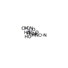 N#Cc1ccc(NC(=O)N2C/C(=C(/C(=N)c3cccc(Cl)c3)C(N)=O)NC(CO)C2)cc1